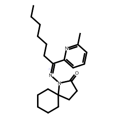 CCCCCC/C(=N/N1C(=O)CCC12CCCCC2)c1cccc(C)n1